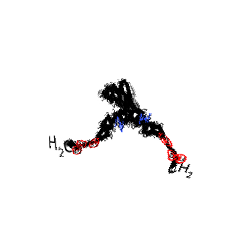 C=CC(=O)OCCOc1ccc2cc(C3=Nc4ccc(C5(c6ccc7c(c6)CC(c6ccc8cc(OCCOC(=O)C=C)ccc8c6)=N7)c6ccccc6-c6cc7ccccc7cc65)cc4C3)ccc2c1